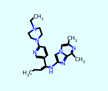 CC/C=C(/Nc1cn2cc(C)nc(C)c2n1)c1ccc(N2CCN(CC)CC2)nc1